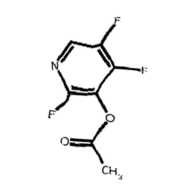 CC(=O)Oc1c(F)ncc(F)c1F